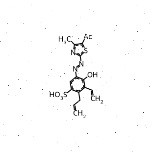 C=CCc1c(S(=O)(=O)O)cc(N=Nc2nc(C)c(C(C)=O)s2)c(O)c1C=C